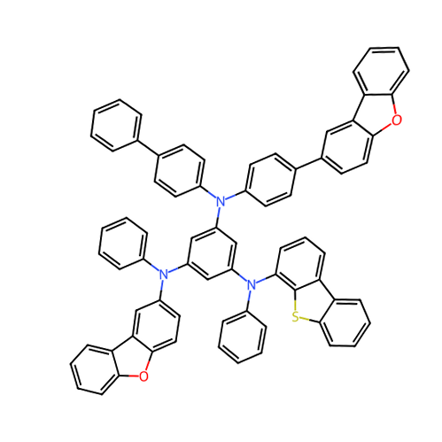 c1ccc(-c2ccc(N(c3ccc(-c4ccc5oc6ccccc6c5c4)cc3)c3cc(N(c4ccccc4)c4ccc5oc6ccccc6c5c4)cc(N(c4ccccc4)c4cccc5c4sc4ccccc45)c3)cc2)cc1